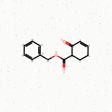 O=C1C=CCCC1C(=O)OCc1ccccc1